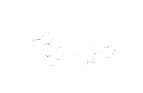 C[C@@H](NCCC[C@H]1C[C@@H](c2ccc(F)c(C(=O)O)c2)c2ccccc2O1)c1cccc2ccccc12